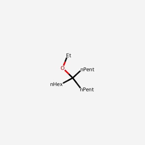 CCCCCCC(CCCCC)(CCCCC)OCC